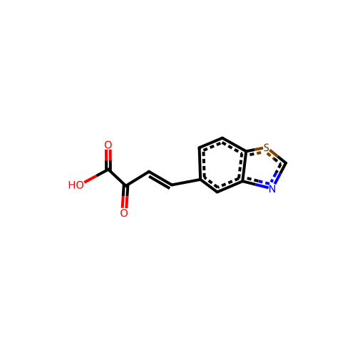 O=C(O)C(=O)/C=C/c1ccc2scnc2c1